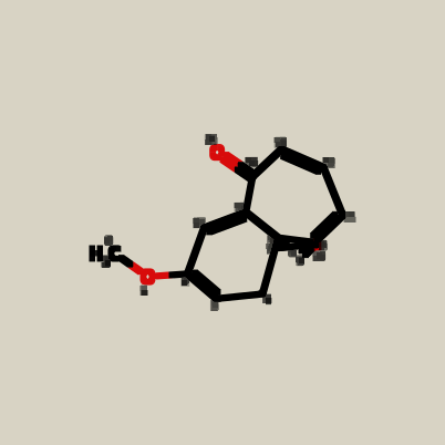 COC1=CCC23C=CC=CC2=CC=CC(=O)C3=C1